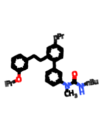 CCCCNC(=O)N(C)c1cccc(-c2ccc(CCC)cc2CCc2cccc(OC(C)C)c2)c1